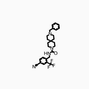 N#Cc1ccc(CNC(=O)N2CCC3(CCN(Cc4ccccc4)CC3)CC2)c(C(F)(F)F)c1